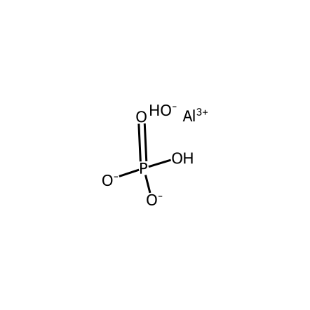 O=P([O-])([O-])O.[Al+3].[OH-]